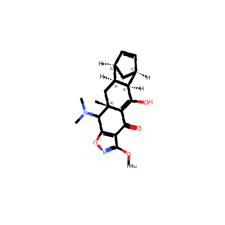 CCCCOc1noc2c1C(=O)C1=C(O)[C@H]3[C@@H](C[C@@]1(C)C2N(C)C)[C@H]1C=C[C@@H]3C1